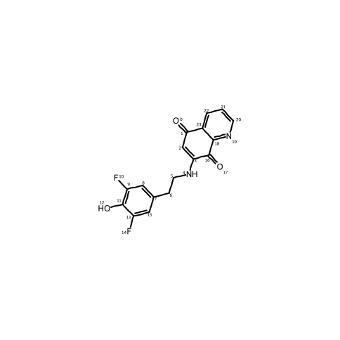 O=C1C=C(NCCc2cc(F)c(O)c(F)c2)C(=O)c2ncccc21